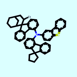 CCC1CC2CCCC(C2)C12c1ccccc1-c1c(N(c3ccc4sc5ccccc5c4c3)c3cccc4c3-c3ccccc3C43CCCC3)cccc12